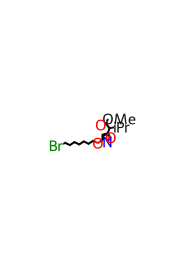 COC(=O)C(c1cc(OCCCCCCCBr)no1)C(C)C